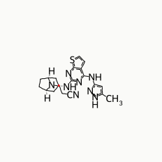 Cc1cc(Nc2nc(N[C@@H]3C[C@H]4CC[C@@H](C3)N4CCC#N)nc3sccc23)n[nH]1